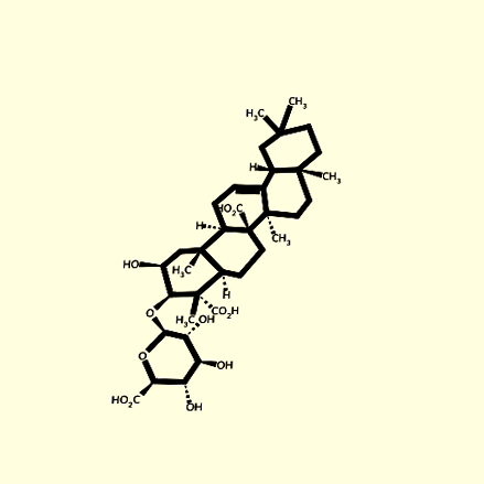 CC1(C)CC[C@]2(C)CC[C@]3(C)C(=CC[C@@H]4[C@@]5(C)C[C@H](O)[C@H](O[C@@H]6O[C@H](C(=O)O)[C@@H](O)[C@H](O)[C@H]6O)[C@@](C)(C(=O)O)[C@@H]5CC[C@]43C(=O)O)[C@@H]2C1